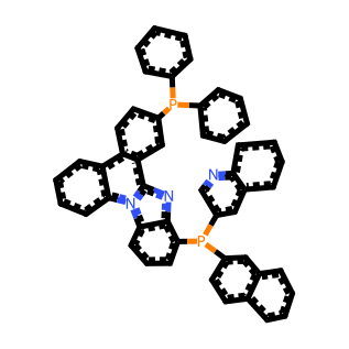 c1ccc(P(c2ccccc2)c2ccc3c4ccccc4n4c5cccc(P(c6ccc7ccccc7c6)c6cnc7ccccc7c6)c5nc4c3c2)cc1